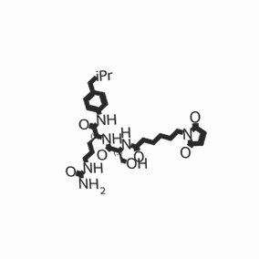 CC(C)Cc1ccc(NC(=O)[C@H](CCCNC(N)=O)NC(=O)[C@H](CO)NC(=O)CCCCCN2C(=O)C=CC2=O)cc1